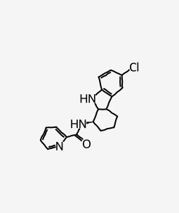 O=C(N[C@@H]1CCCC2c3cc(Cl)ccc3NC21)c1ccccn1